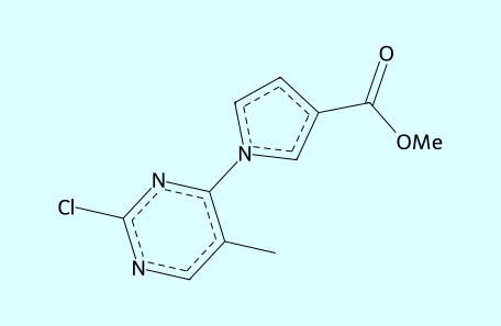 COC(=O)c1ccn(-c2nc(Cl)ncc2C)c1